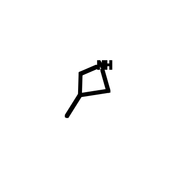 CC1CNC1